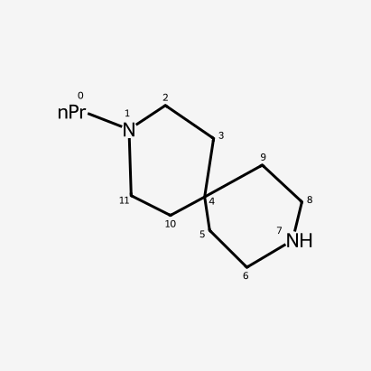 CCCN1CCC2(CCNCC2)CC1